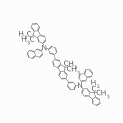 CC1(C)c2cc(-c3cccc(N(c4ccc5c(c4)C(C)(C)c4ccccc4-5)c4ccc5ccccc5c4)c3)ccc2-c2ccc(-c3cccc(N(c4ccc5c(c4)C(C)(C)c4ccccc4-5)c4ccc5ccccc5c4)c3)cc21